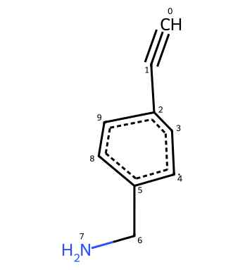 C#Cc1c[c]c(CN)cc1